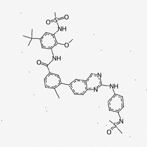 COc1c(NC(=O)c2ccc(C)c(-c3ccc4nc(Nc5ccc(N=S(C)(C)=O)cc5)ncc4c3)c2)cc(C(C)(C)C)cc1NS(C)(=O)=O